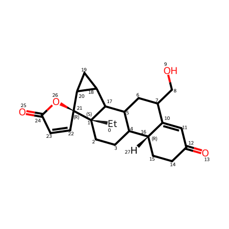 CC[C@]12CCC3C(CC(CO)C4=CC(=O)CC[C@@H]43)C1C1CC1[C@@]21C=CC(=O)O1